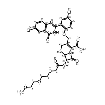 COCCOCCOCC(=O)N[C@@H]1C(=O)N2C(C(=O)O)=C(COc3ccc(Cl)cc3-c3nc4ccc(Cl)cc4c(=O)[nH]3)CSC12